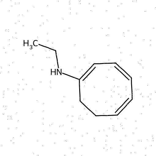 CCN/C1=C/C=C\C=C/CC1